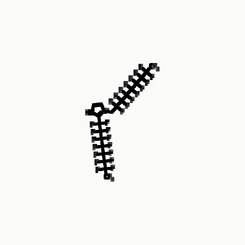 FC(F)(F)C(F)(F)C(F)(F)C(F)(F)C(F)(F)C(F)(F)C(F)(F)C(F)(F)C[n+]1cc[nH]c1C(F)(F)C(F)(F)C(F)(F)C(F)(F)C(F)(F)C(F)(F)C(F)(F)C(F)(F)F